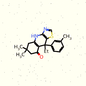 CCC1(c2cccc(C)c2)C2=C(CC(C)(C)CC2=O)Nc2ncsc21